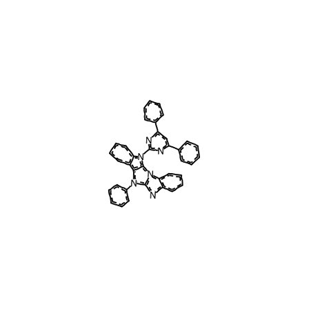 c1ccc(-c2cc(-c3ccccc3)nc(-n3c4ccccc4c4c3n3c5ccccc5nc3n4-c3ccccc3)n2)cc1